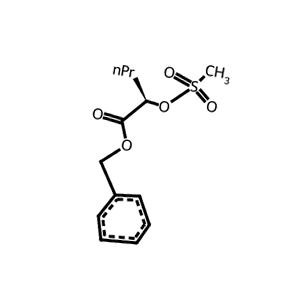 CCC[C@@H](OS(C)(=O)=O)C(=O)OCc1ccccc1